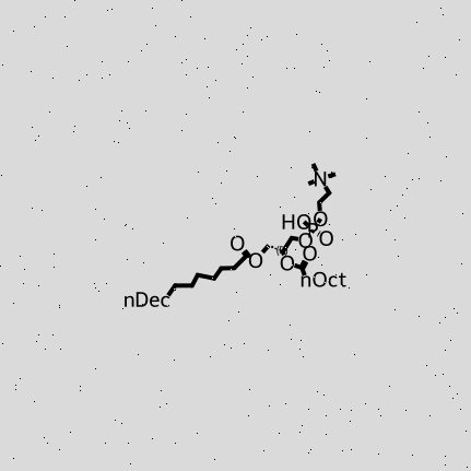 CCCCCCCCCCCCCCCCC(=O)OC[C@H](COP(=O)(O)OCC[N+](C)(C)C)OC(=O)CCCCCCCC